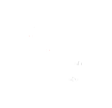 CCCCC(CCC)CCOCC1CO1